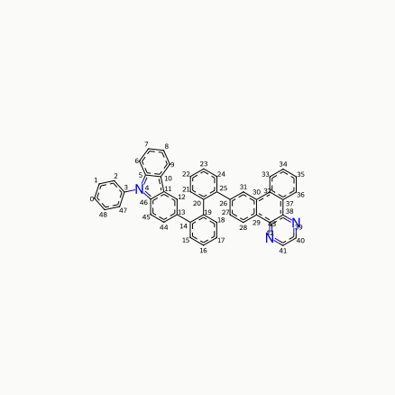 c1ccc(-n2c3ccccc3c3cc(-c4ccccc4-c4ccccc4-c4ccc5c(c4)c4ccccc4c4nccnc54)ccc32)cc1